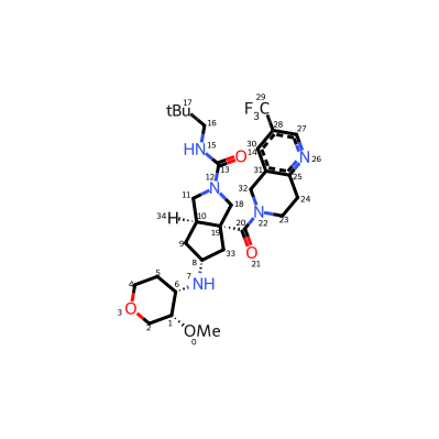 CO[C@@H]1COCC[C@@H]1N[C@@H]1C[C@H]2CN(C(=O)NCC(C)(C)C)C[C@@]2(C(=O)N2CCc3ncc(C(F)(F)F)cc3C2)C1